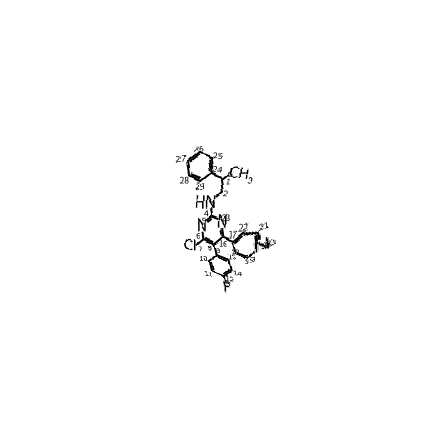 CC(CNc1nc(Cl)c(-c2ccc(F)cc2)c(-c2ccncc2)n1)c1ccccc1